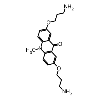 Cn1c2ccc(OCCCN)cc2c(=O)c2cc(OCCCN)ccc21